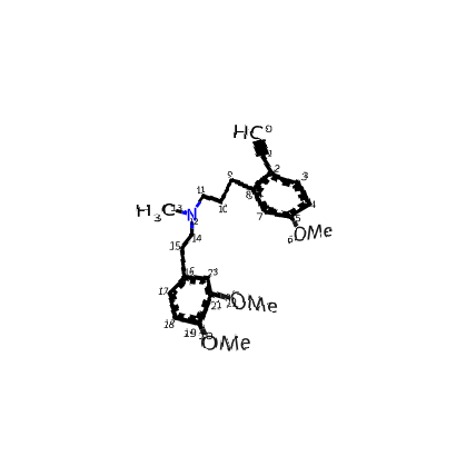 C#Cc1ccc(OC)cc1CCCN(C)CCc1ccc(OC)c(OC)c1